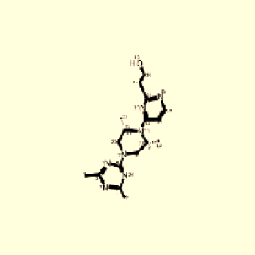 Cc1nc(C)nc(N2C[C@@H](C)N(c3ccnc(CCO)n3)[C@@H](C)C2)n1